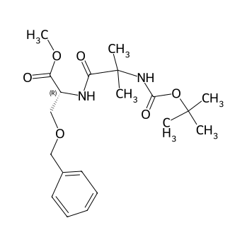 COC(=O)[C@@H](COCc1ccccc1)NC(=O)C(C)(C)NC(=O)OC(C)(C)C